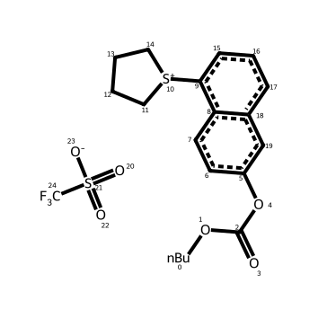 CCCCOC(=O)Oc1ccc2c([S+]3CCCC3)cccc2c1.O=S(=O)([O-])C(F)(F)F